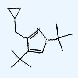 CC(C)(C)c1cn(C(C)(C)C)nc1CC1CC1